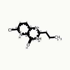 CCCc1nc2ccc(Cl)nc2c(=O)[nH]1